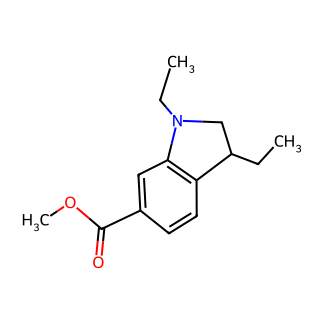 CCC1CN(CC)c2cc(C(=O)OC)ccc21